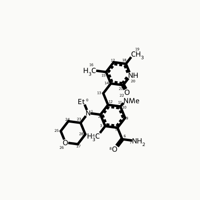 CCN(c1c(C)c(C(N)=O)cc(NC)c1Cc1c(C)cc(C)[nH]c1=O)C1CCOCC1